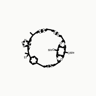 CCC1(C)c2ccc(cc2)-c2ccc(cc2)-c2cc3c(OC)c4oc(cc4c(OC)c3o2)-c2ccc(cc2)-c2ccc(cc2)C(C)c2ccc1c1nsnc21